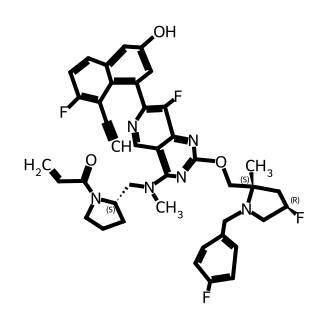 C#Cc1c(F)ccc2cc(O)cc(-c3ncc4c(N(C)C[C@@H]5CCCN5C(=O)C=C)nc(OC[C@]5(C)C[C@@H](F)CN5Cc5ccc(F)cc5)nc4c3F)c12